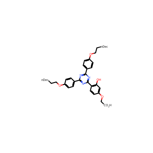 CCCCCCCCCCCCOc1ccc(-c2nc(-c3ccc(OCCCCCCCCCCCC)cc3)nc(-c3ccc(OCC(=O)O)cc3O)n2)cc1